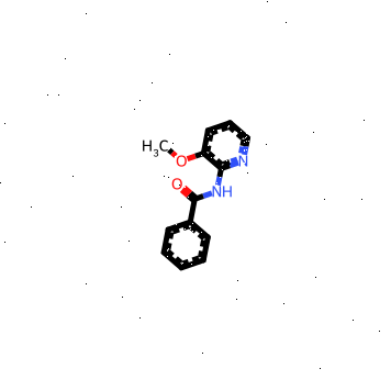 COc1cccnc1NC(=O)c1ccccc1